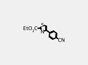 CCOC(=O)c1nc(-c2ccc(C#N)cc2)cs1